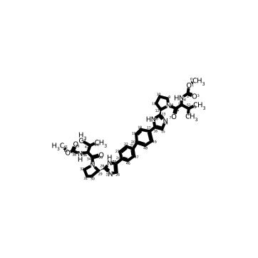 COC(=O)NC(C(=O)N1CCC[C@@H]1c1ncc(-c2ccc(-c3ccc(-c4cnc([C@@H]5CCCN5C(=O)C(NC(=O)OC)C(C)C)[nH]4)cc3)cc2)[nH]1)C(C)C